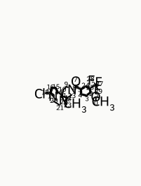 COc1ccc(C(=O)N2CCC3(CC2)c2ccc(Cl)n2CCN3C)cc1C(F)(F)F